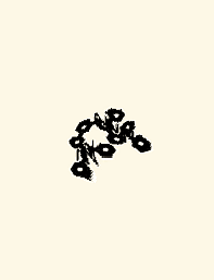 c1ccc(-c2nc(-c3cccc(-c4cccc(-c5nc(-c6ccccc6)nc(-c6ccccc6)n5)c4)c3)cc(-c3cccc4c3c3ccccc3n4-c3ccccc3)n2)cc1